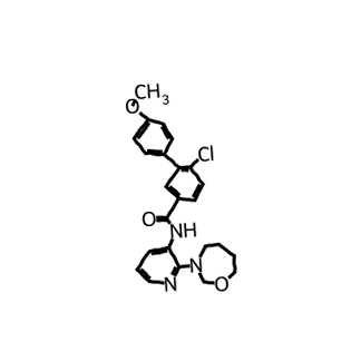 COc1ccc(-c2cc(C(=O)Nc3cccnc3N3CCCCOC3)ccc2Cl)cc1